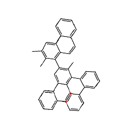 Cc1cc2c(ccc3ccccc32)c(-c2cc3c(ccc4ccccc43)c(-c3ccccc3-c3ccccc3)c2C)c1C